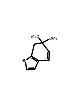 COC1(OC)C=Cc2cc[nH]c2C1